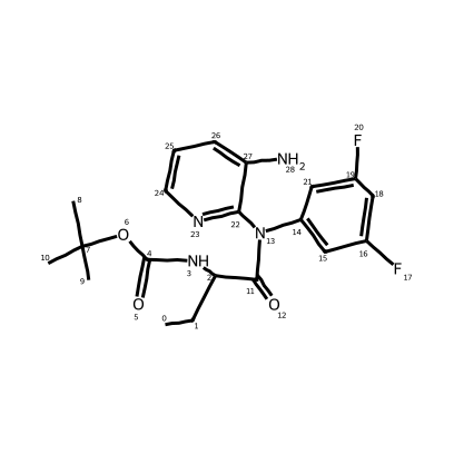 CCC(NC(=O)OC(C)(C)C)C(=O)N(c1cc(F)cc(F)c1)c1ncccc1N